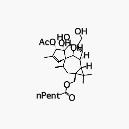 CCCCCC(=O)OC[C@@]12C[C@@H](C)[C@]34C=C(C)[C@H](OC(C)=O)[C@@]3(O)[C@H](O)C(CO)=C[C@H](C4O)[C@@H]1C2(C)C